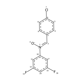 [O-][N+](=Cc1ccc(Cl)cc1)c1cc(F)cc(F)c1